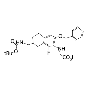 CC(C)(C)OC(=O)NCC1CCc2cc(OCc3ccccc3)c(NCC(=O)O)c(F)c2C1